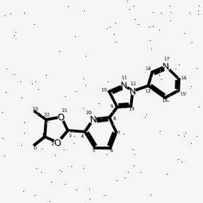 CC1OC(c2cccc(-c3cnn(-c4cccnc4)c3)n2)OC1C